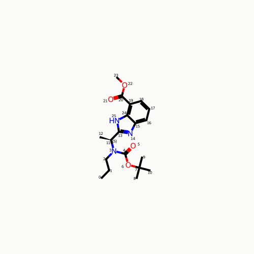 CCCN(C(=O)OC(C)(C)C)[C@@H](C)c1nc2cccc(C(=O)OC)c2[nH]1